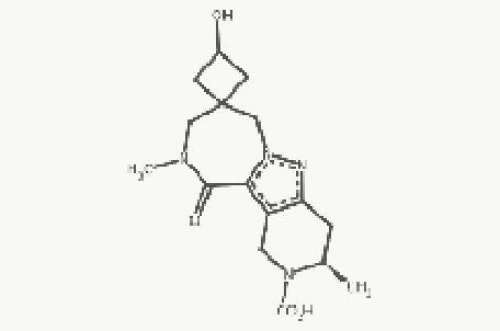 C[C@@H]1Cc2nn3c(c2CN1C(=O)O)C(=O)N(C)CC1(CC(O)C1)C3